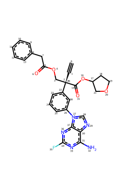 C#C[C@@](COC(=O)Cc1ccccc1)(C(=O)OC1CCOC1)c1cccc(-n2cnc3c(N)nc(F)nc32)c1